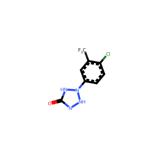 O=C1[N]NN(c2ccc(Cl)c(C(F)(F)F)c2)N1